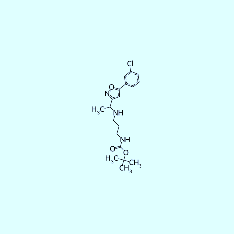 CC(NCCCNC(=O)OC(C)(C)C)c1cc(-c2cccc(Cl)c2)on1